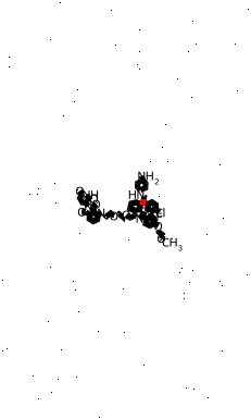 COCCOc1ccc(C(=O)NCCOCCOCCNc2cccc3c2C(=O)N(C2CCC(=O)NC2=O)C3=O)c(-c2cc(C(CNC3CCC(N)CC3)c3ccccc3)ccc2Cl)c1F